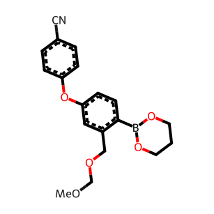 COCOCc1cc(Oc2ccc(C#N)cc2)ccc1B1OCCCO1